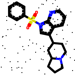 O=S(=O)(c1ccccc1)n1cc(C2CCN3CCCC3C2)c2cccnc21